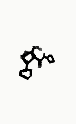 Nc1onc(-c2cccnc2)c1C(=O)NC1CCC1